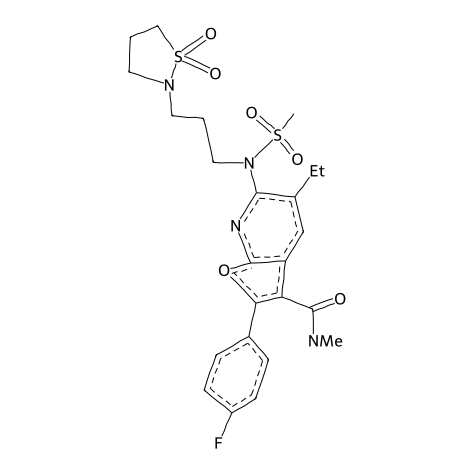 CCc1cc2c(C(=O)NC)c(-c3ccc(F)cc3)oc2nc1N(CCCN1CCCS1(=O)=O)S(C)(=O)=O